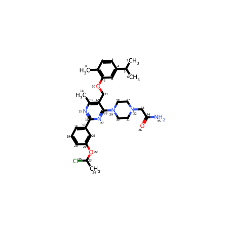 Cc1ccc(C(C)C)cc1OCc1c(C)nc(-c2cccc(OC(C)Cl)c2)nc1N1CCN(CC(N)=O)CC1